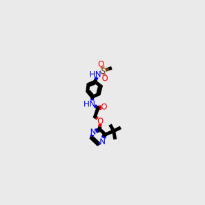 CC(C)(C)c1nccnc1OCC(=O)Nc1ccc(NS(C)(=O)=O)cc1